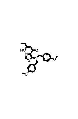 CC/C(O)=C/C(=O)c1ncsc1N(Cc1ccc(OC)cc1)Cc1ccc(OC)cc1